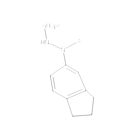 CCCCCCCNN(C(C)=O)c1ccc2c(c1)CCC2